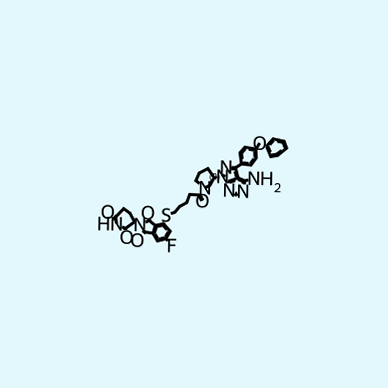 Nc1ncnc2c1c(-c1ccc(Oc3ccccc3)cc1)nn2[C@@H]1CCCN(C(=O)CCCCSc2cc(F)cc3c2C(=O)N(C2CCC(=O)NC2=O)C3=O)C1